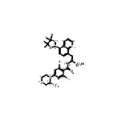 CC1(C)OB(c2ccc(CC(NC(=O)c3c(F)cc(N4CCOC[C@@H]4C(F)(F)F)cc3F)C(=O)O)c3ncccc23)OC1(C)C